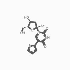 CC(=O)[C@]1(n2cc(-c3cccs3)c(=O)[nH]c2=O)C[C@H](O)[C@@H](CO)O1